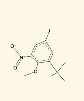 COc1c([N+](=O)[O-])cc(I)cc1C(C)(C)C